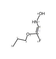 CCCO/C(F)=C\NO